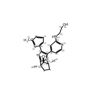 C=C1[C@H]2CC[C@@H]1n1c2nc(-c2cccc(C)n2)c1-c1ccnc(NCCO)c1